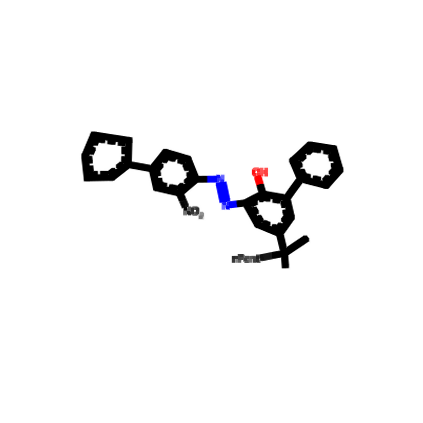 CCCCCC(C)(C)c1cc(N=Nc2ccc(-c3ccccc3)cc2[N+](=O)[O-])c(O)c(-c2ccccc2)c1